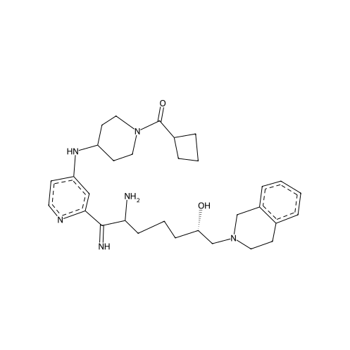 N=C(c1cc(NC2CCN(C(=O)C3CCC3)CC2)ccn1)C(N)CCC[C@H](O)CN1CCc2ccccc2C1